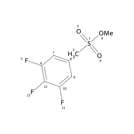 COS(C)(=O)=O.Fc1cccc(F)c1F